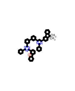 CC1(C)c2ccccc2-c2cc(-c3cc(-c4cccc(-c5cccc(-c6nc(-c7ccccc7)nc(-c7cccc8c7oc7ccccc78)n6)c5)c4)nc(-c4ccccc4)n3)ccc21